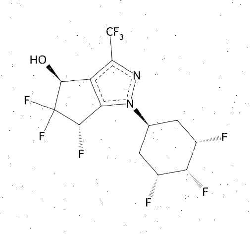 O[C@H]1c2c(C(F)(F)F)nn([C@@H]3C[C@@H](F)[C@@H](F)[C@@H](F)C3)c2[C@H](F)C1(F)F